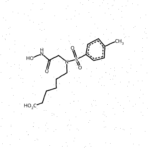 Cc1ccc(S(=O)(=O)N(CCCCCC(=O)O)CC(=O)NO)cc1